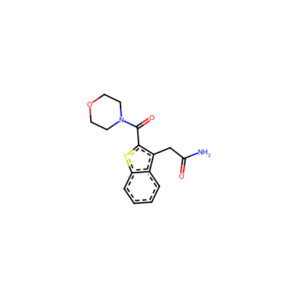 NC(=O)Cc1c(C(=O)N2CCOCC2)sc2ccccc12